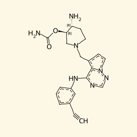 C#Cc1cccc(Nc2ncnn3ccc(CN4CC[C@@H](N)[C@H](OC(N)=O)C4)c23)c1